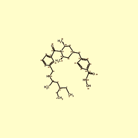 CCN(CC)CC(C)NCc1cccc(C(=O)N2[C@H](C)CN(Cc3ccc(C(=O)NO)cc3)C[C@@H]2C)c1